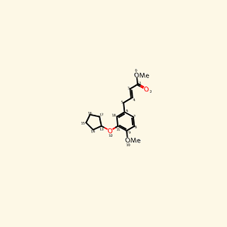 COC(=O)C=CCc1ccc(OC)c(OC2CCCC2)c1